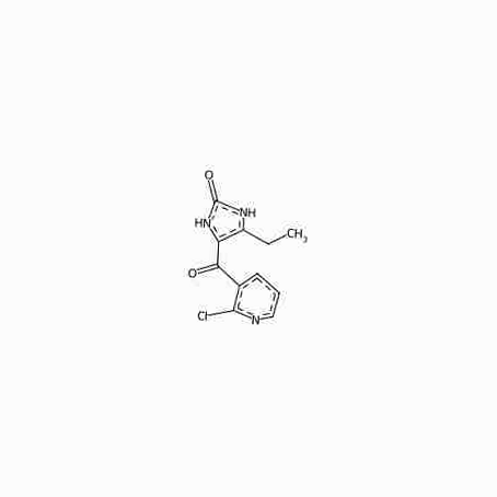 CCc1[nH]c(=O)[nH]c1C(=O)c1cccnc1Cl